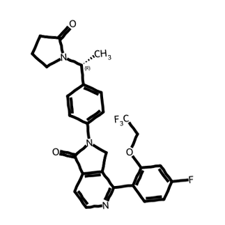 C[C@H](c1ccc(N2Cc3c(ccnc3-c3ccc(F)cc3OCC(F)(F)F)C2=O)cc1)N1CCCC1=O